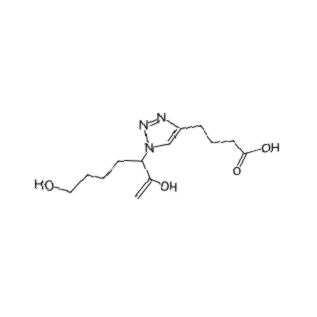 C=C(O)C(CCCCO)n1cc(CCCC(=O)O)nn1